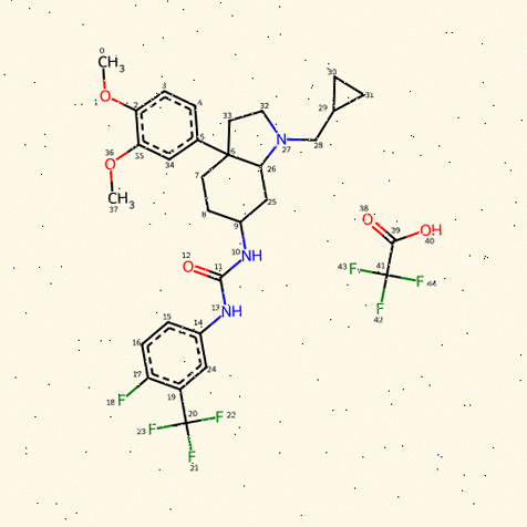 COc1ccc(C23CCC(NC(=O)Nc4ccc(F)c(C(F)(F)F)c4)CC2N(CC2CC2)CC3)cc1OC.O=C(O)C(F)(F)F